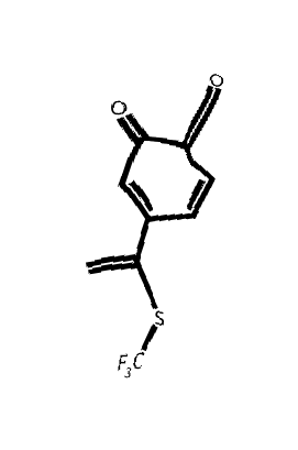 C=C(SC(F)(F)F)C1=CC(=O)C(=O)C=C1